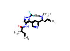 C=CC[C@@H](c1cncc(-c2c(NC(=O)[C@H](C)C=C)cnn2C(F)F)c1)N(C(=O)O)C(C)(C)C